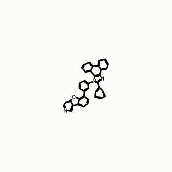 c1ccc(-c2nc3c4ccccc4c4ccccc4c3n2-c2cccc(-c3cccc4c3oc3ccncc34)c2)cc1